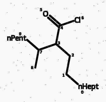 CCCCCCCCCC(C(=O)Cl)C(C)CCCCC